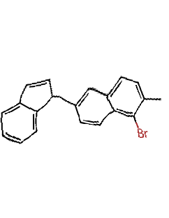 Cc1ccc2cc(C3C=Cc4ccccc43)ccc2c1Br